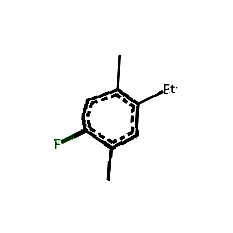 C[CH]c1cc(C)c(F)cc1C